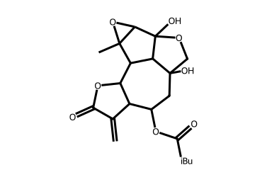 C=C1C(=O)OC2C1C(OC(=O)C(C)CC)CC1(O)COC3(O)C1C2C1(C)OC13